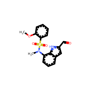 COc1ccccc1S(=O)(=O)N(C)c1cccc2cc(C=O)[nH]c12